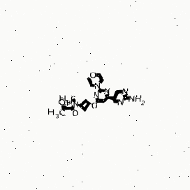 C[C@H](O)C(=O)N(C)[C@H]1C[C@H](Oc2cc(-c3cnc(N)nc3)nc(N3CCOCC3)n2)C1